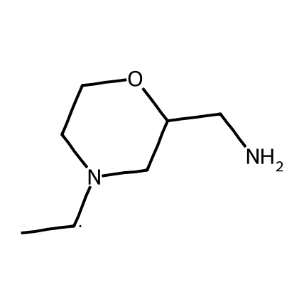 C[CH]N1CCOC(CN)C1